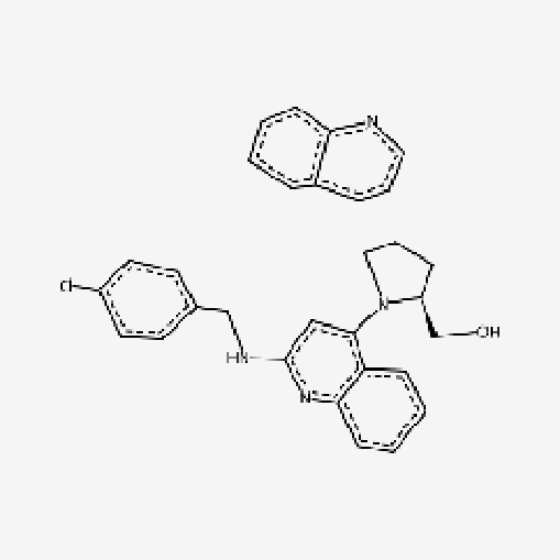 OC[C@@H]1CCCN1c1cc(NCc2ccc(Cl)cc2)nc2ccccc12.c1ccc2ncccc2c1